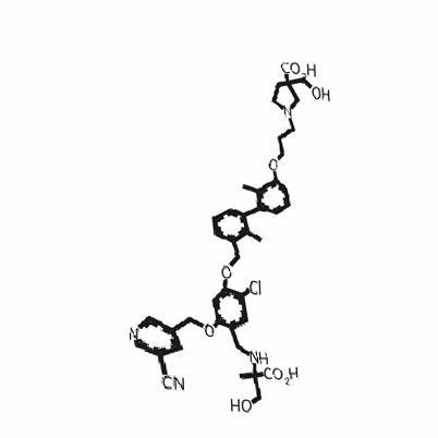 Cc1c(COc2cc(OCc3cncc(C#N)c3)c(CNC(C)(CO)C(=O)O)cc2Cl)cccc1-c1cccc(OCCCN2CCC(CO)(C(=O)O)C2)c1C